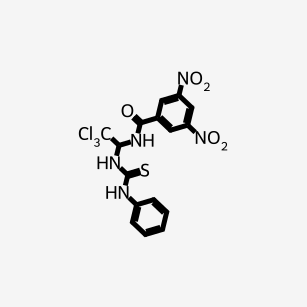 O=C(NC(NC(=S)Nc1ccccc1)C(Cl)(Cl)Cl)c1cc([N+](=O)[O-])cc([N+](=O)[O-])c1